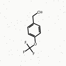 [CH]Cc1ccc(OC(F)(F)F)cc1